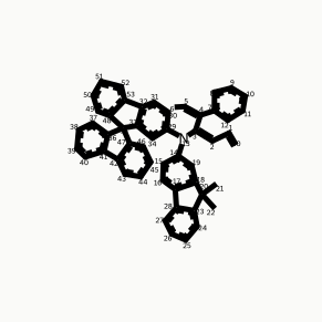 C=C/C=C(\C(=C/C)c1ccccc1)N(c1ccc2c(c1)C(C)(C)c1ccccc1-2)c1ccc2c(c1)C1(c3ccccc3-c3ccccc31)c1ccccc1-2